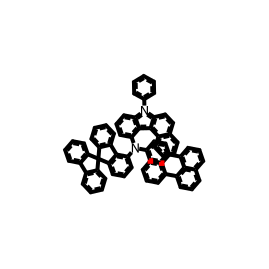 c1ccc(-c2cccc3cccc(-c4ccc(N(c5cccc6c5-c5ccccc5C65c6ccccc6-c6ccccc65)c5cccc6c5c5c7ccccc7ccc5n6-c5ccccc5)cc4)c23)cc1